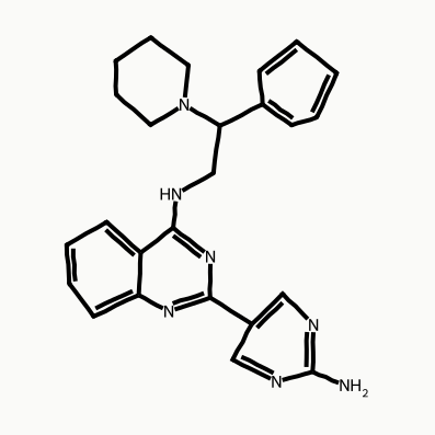 Nc1ncc(-c2nc(NCC(c3ccccc3)N3CCCCC3)c3ccccc3n2)cn1